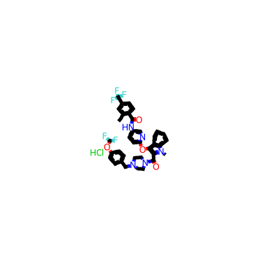 Cc1cc(C(F)(F)F)ccc1C(=O)Nc1ccc(Oc2c(C(=O)N3CCN(Cc4ccc(OC(F)F)cc4)CC3)n(C)c3ccccc23)nc1.Cl